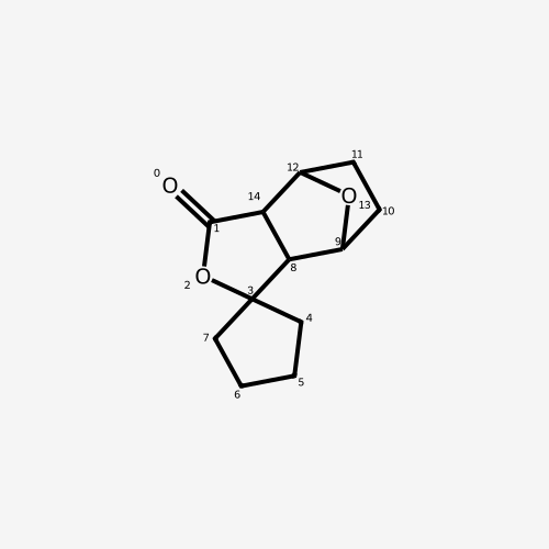 O=C1OC2(CCCC2)C2C3CCC(O3)C12